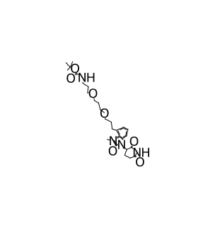 Cn1c(=O)n(C2CCC(=O)NC2=O)c2cccc(CCCOCCCOCCCNC(=O)OC(C)(C)C)c21